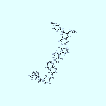 COc1nc(O[C@@H]2CCc3c(-c4cccc(Nc5nccc6cc(CN7CCC(C(=O)NS(=O)(=O)C8(C)CC8)C7)cnc56)c4Cl)cccc32)c(Cl)cc1CN1CC[C@@H](O)C1